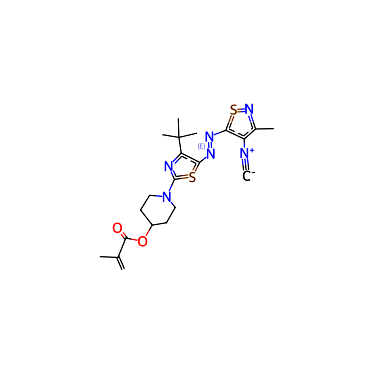 [C-]#[N+]c1c(C)nsc1/N=N/c1sc(N2CCC(OC(=O)C(=C)C)CC2)nc1C(C)(C)C